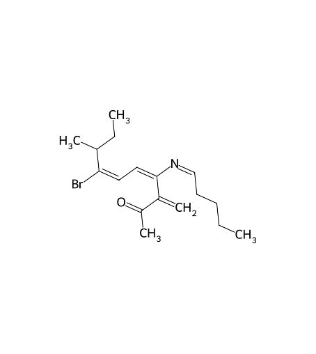 C=C(C(C)=O)C(=C\C=C(\Br)C(C)CC)/N=C\CCCC